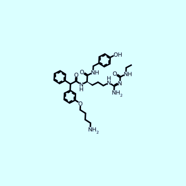 CCNC(=O)/N=C(/N)NCCC[C@@H](NC(=O)C(c1ccccc1)c1cccc(OCCCCN)c1)C(=O)NCc1ccc(O)cc1